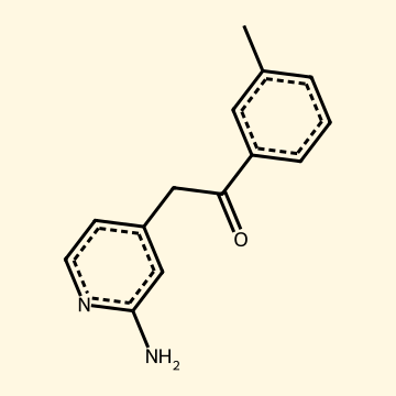 Cc1cccc(C(=O)Cc2ccnc(N)c2)c1